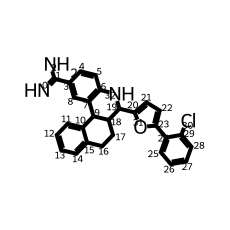 N=C(N)c1ccc2c(c1)C1c3ccccc3CCC1C(c1ccc(-c3ccccc3Cl)o1)N2